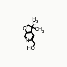 CC1(C)COc2cnc(CO)cc21